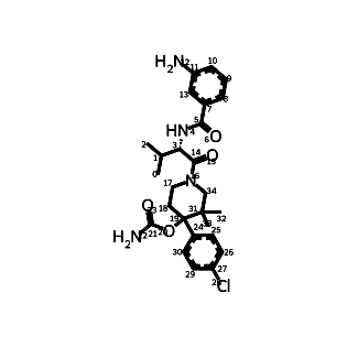 CC(C)[C@H](NC(=O)c1cccc(N)c1)C(=O)N1CCC(OC(N)=O)(c2ccc(Cl)cc2)C(C)(C)C1